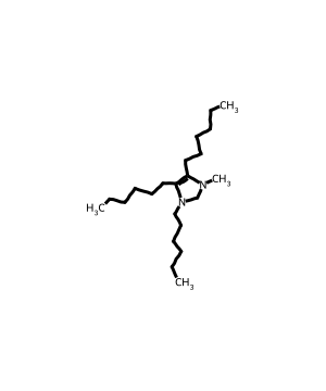 CCCCCCC1=C(CCCCCC)N(CCCCCC)CN1C